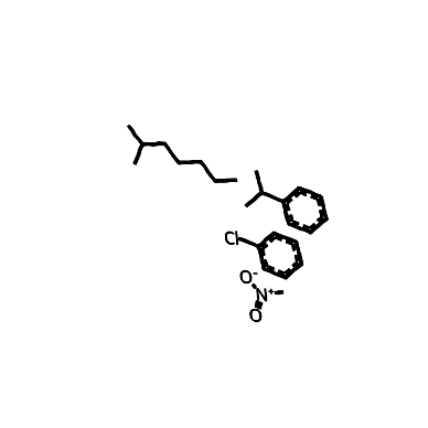 CC(C)c1ccccc1.CCCCCC(C)C.C[N+](=O)[O-].Clc1ccccc1